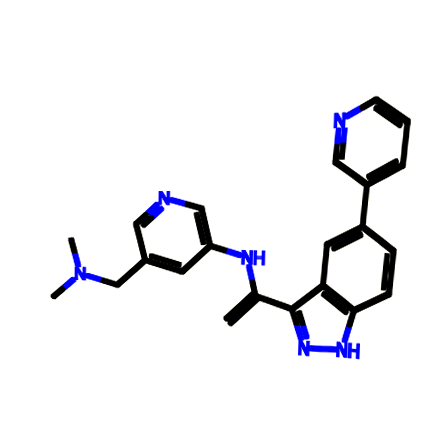 C=C(Nc1cncc(CN(C)C)c1)c1n[nH]c2ccc(-c3cccnc3)cc12